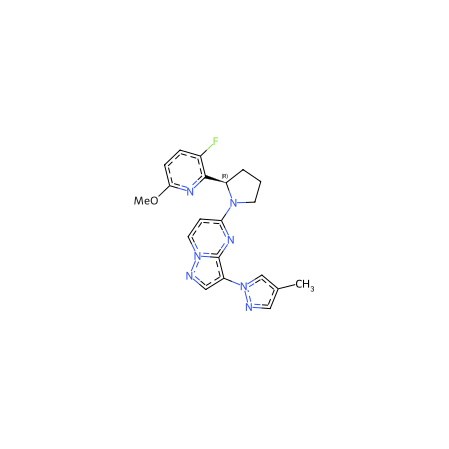 COc1ccc(F)c([C@H]2CCCN2c2ccn3ncc(-n4cc(C)cn4)c3n2)n1